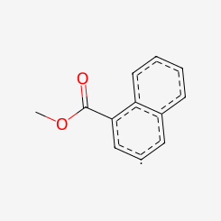 COC(=O)c1c[c]cc2ccccc12